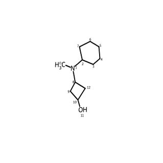 CN(C1CCCCC1)C1CC(O)C1